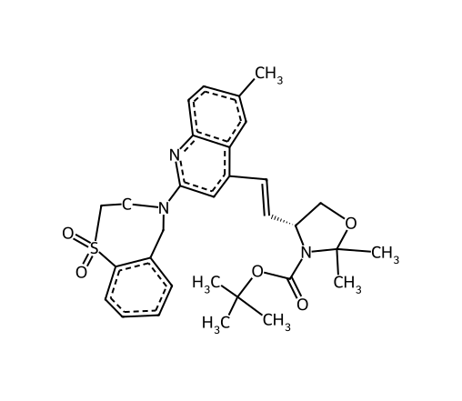 Cc1ccc2nc(N3CCS(=O)(=O)c4ccccc4C3)cc(/C=C/[C@@H]3COC(C)(C)N3C(=O)OC(C)(C)C)c2c1